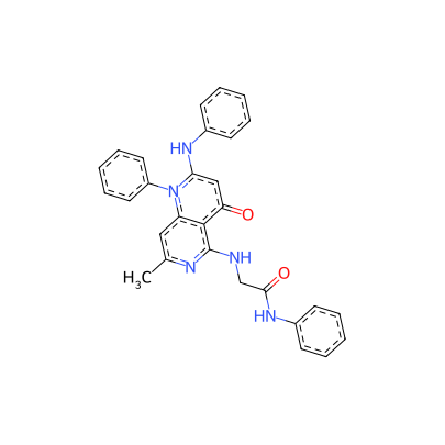 Cc1cc2c(c(NCC(=O)Nc3ccccc3)n1)c(=O)cc(Nc1ccccc1)n2-c1ccccc1